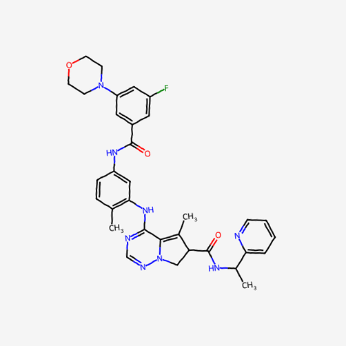 CC1=C2C(Nc3cc(NC(=O)c4cc(F)cc(N5CCOCC5)c4)ccc3C)=NC=NN2CC1C(=O)NC(C)c1ccccn1